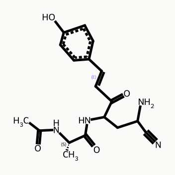 CC(=O)N[C@@H](C)C(=O)NC(CC(N)C#N)C(=O)/C=C/c1ccc(O)cc1